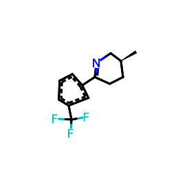 C[C@H]1CCC(c2cccc(C(F)(F)F)c2)=NC1